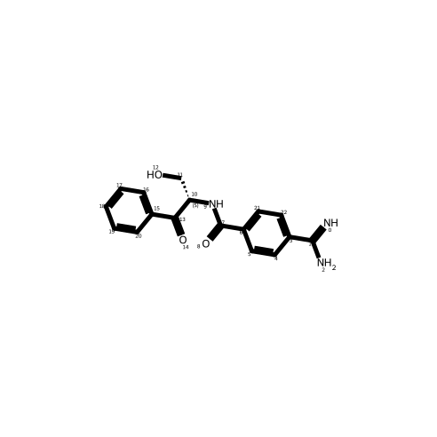 N=C(N)c1ccc(C(=O)N[C@@H](CO)C(=O)c2ccccc2)cc1